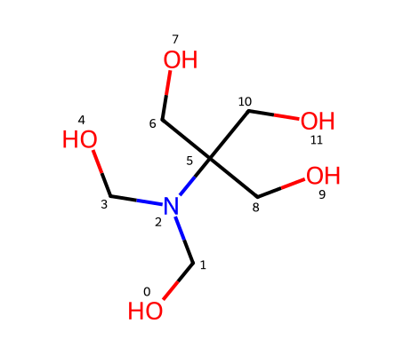 OCN(CO)C(CO)(CO)CO